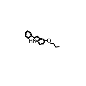 CCCCOc1ccc2[nH]c(-c3ccccc3)cc2c1